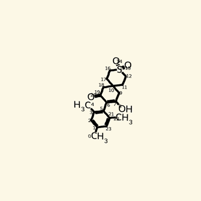 Cc1cc(C)c(C2=C(O)CC3(CCS(=O)(=O)CC3)CC2=O)c(C)c1